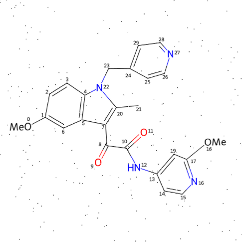 COc1ccc2c(c1)c(C(=O)C(=O)Nc1ccnc(OC)c1)c(C)n2Cc1ccncc1